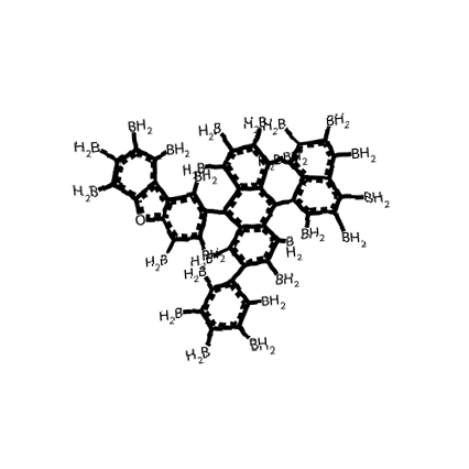 Bc1c(B)c(B)c(-c2c(B)c(B)c3c(-c4c(B)c(B)c(B)c5c(B)c(B)c(B)c(B)c45)c4c(B)c(B)c(B)c(B)c4c(-c4c(B)c(B)c5oc6c(B)c(B)c(B)c(B)c6c5c4B)c3c2B)c(B)c1B